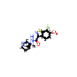 COc1ccc2c(C(=O)N[C@@H]3CN4CCC3CC4)nsc2c1F